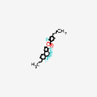 C=CCCc1ccc(C(=O)Oc2ccc3c(c2F)C(F)(F)C(F)(F)c2c-3ccc(CCC)c2F)c(F)c1